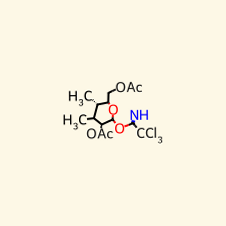 CC(=O)OCC1OC(OC(=N)C(Cl)(Cl)Cl)[C@@H](OC(C)=O)C(C)[C@@H]1C